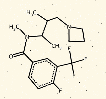 CC(CN1CCC1)C(C)N(C)C(=O)c1ccc(F)c(C(F)(F)F)c1